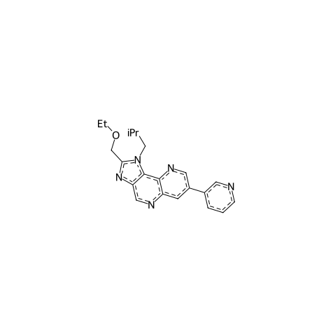 CCOCc1nc2cnc3cc(-c4cccnc4)cnc3c2n1CC(C)C